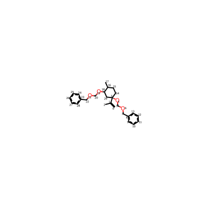 C=C(C)[C@@]1(OCOCc2ccccc2)CCC(C)C(OCOCc2ccccc2)C1